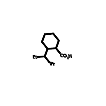 CCC(C(C)C)C1CCCCC1C(=O)O